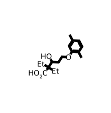 CCC(CC)(C(=O)O)C(O)CCOc1cc(C)ccc1C